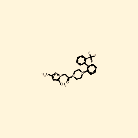 Cc1cc(C)n(CC(=O)N2CCN(c3ccccc3-c3ccccc3C(F)(F)F)CC2)n1